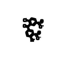 O=C(c1ccc(Br)c([N+](=O)[O-])c1)c1cc([N+](=O)[O-])ccc1Cl